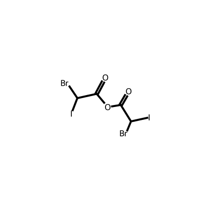 O=C(OC(=O)C(Br)I)C(Br)I